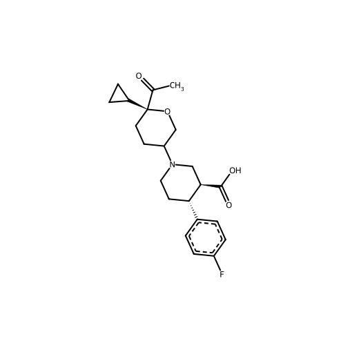 CC(=O)[C@@]1(C2CC2)CCC(N2CC[C@@H](c3ccc(F)cc3)[C@H](C(=O)O)C2)CO1